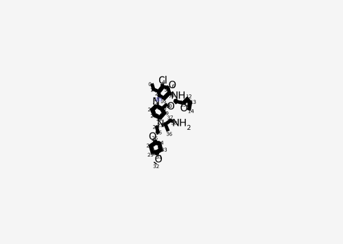 CCC1=C(Cl)C(=O)C(NC(=O)c2ccco2)=C/C1=N\c1ccc(N(CCOc2ccc(OC)cc2)C(C)CN)cc1C